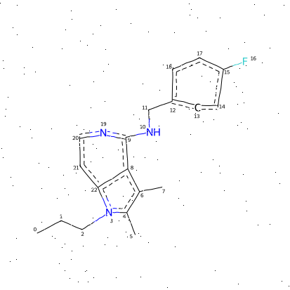 CCCn1c(C)c(C)c2c(NCc3ccc(F)cc3)nccc21